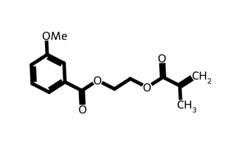 C=C(C)C(=O)OCCOC(=O)c1cccc(OC)c1